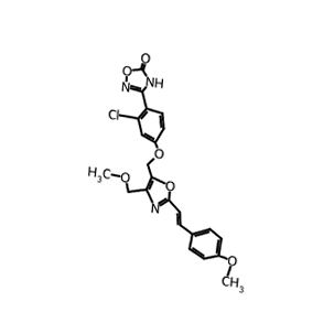 COCc1nc(/C=C/c2ccc(OC)cc2)oc1COc1ccc(-c2noc(=O)[nH]2)c(Cl)c1